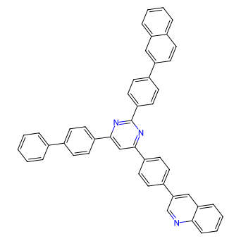 c1ccc(-c2ccc(-c3cc(-c4ccc(-c5cnc6ccccc6c5)cc4)nc(-c4ccc(-c5ccc6ccccc6c5)cc4)n3)cc2)cc1